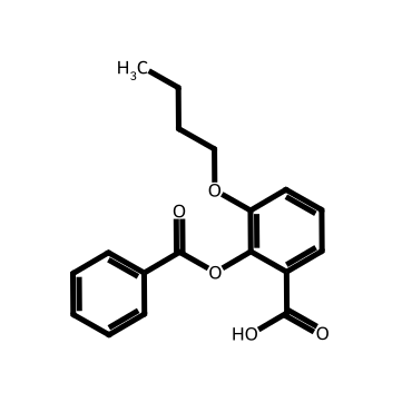 CCCCOc1cccc(C(=O)O)c1OC(=O)c1ccccc1